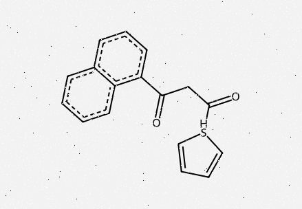 O=C(CC(=O)[SH]1C=CC=C1)c1cccc2ccccc12